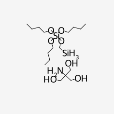 CCCCO[Si](OC[SiH3])(OCCCC)OCCCC.NC(CO)(CO)CO